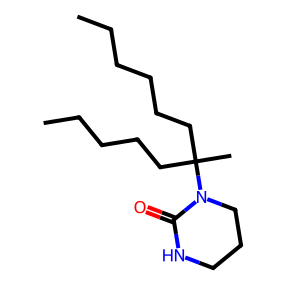 CCCCCCC(C)(CCCCC)N1CCCNC1=O